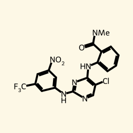 CNC(=O)c1ccccc1Nc1nc(Nc2cc([N+](=O)[O-])cc(C(F)(F)F)c2)ncc1Cl